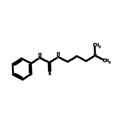 CN(C)CCCNC(=S)Nc1ccccc1